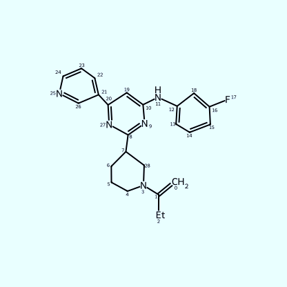 C=C(CC)N1CCCC(c2nc(Nc3cccc(F)c3)cc(-c3cccnc3)n2)C1